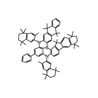 Cc1cc2c(cc1N1c3cc4c(cc3B3c5c1cc(-c1ccccc1)cc5N(c1cc5c(cc1C)C(C)(C)CCC5(C)C)c1ccc5c(c13)C(C)(C)c1cc3c(cc1-5)C(C)(C)CCC3(C)C)C(C)(C)c1ccccc1C4(C)C)C(C)(C)CCC2(C)C